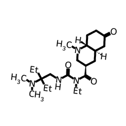 CCN(C(=O)NCC(CC)(CC)N(C)C)C(=O)[C@@H]1C[C@@H]2CC(=O)CC[C@H]2N(C)C1